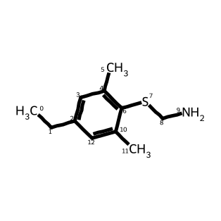 CCc1cc(C)c(SCN)c(C)c1